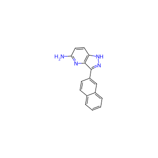 Nc1ccc2[nH]nc(-c3ccc4ccccc4c3)c2n1